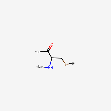 CC(C)SCC(NC(C)(C)C)C(=O)C(C)(C)C